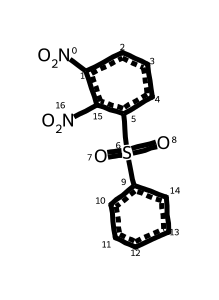 O=[N+]([O-])c1cccc(S(=O)(=O)c2ccccc2)c1[N+](=O)[O-]